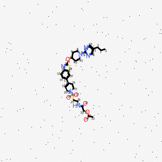 CCCc1cnc(N2CCC(Oc3nc4ccc(C5=CCN(S(=O)(=O)CCNC(=O)COC(C)=O)CC5)cc4s3)CC2)nc1